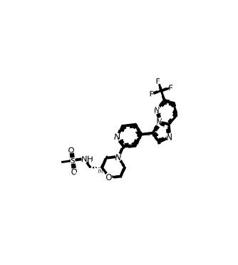 CS(=O)(=O)NC[C@@H]1CN(c2cc(-c3cnc4ccc(C(F)(F)F)nn34)ccn2)CCO1